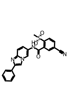 CS(=O)(=O)c1ccc(C#N)cc1C(=O)Nc1ccc2nc(-c3ccccc3)cn2c1